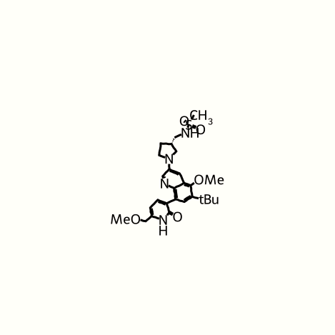 COCc1ccc(-c2cc(C(C)(C)C)c(OC)c3cc(N4CC[C@H](CNS(C)(=O)=O)C4)cnc23)c(=O)[nH]1